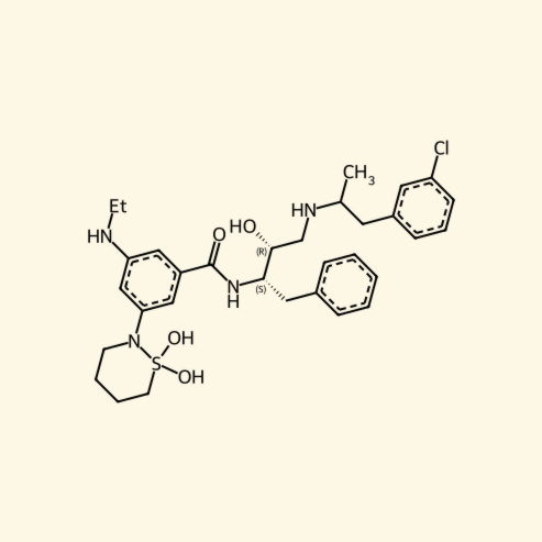 CCNc1cc(C(=O)N[C@@H](Cc2ccccc2)[C@H](O)CNC(C)Cc2cccc(Cl)c2)cc(N2CCCCS2(O)O)c1